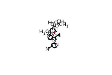 CC1CN(C(=O)OC(C)(C)C)CCN1c1nccc2c1c(C1(C)CC1)cn2-c1cc(C#N)ccn1